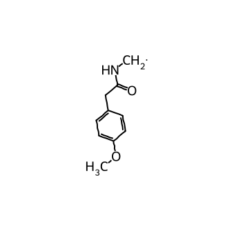 [CH2]NC(=O)Cc1ccc(OC)cc1